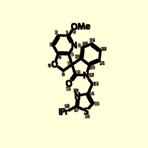 COc1ccc2c(n1)C1(CO2)C(=O)N(Cc2csc(C(C)C)n2)c2ccccc21